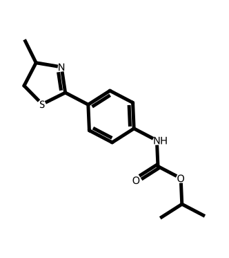 CC1CSC(c2ccc(NC(=O)OC(C)C)cc2)=N1